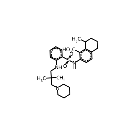 CC1CCCc2ccc(NS(=O)(=O)c3ccccc3NCC(C)(C)CN3CCCCC3)c(C(=O)O)c21